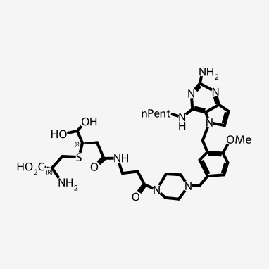 CCCCCNc1nc(N)nc2ccn(Cc3cc(CN4CCN(C(=O)CCNC(=O)C[C@@H](SC[C@H](N)C(=O)O)C(O)O)CC4)ccc3OC)c12